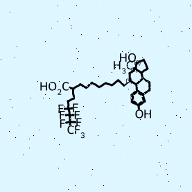 C[C@]12C[C@H](CCCCCCCCC(CCC(F)(F)C(F)(F)C(F)(F)C(F)(F)F)C(=O)O)C3c4ccc(O)cc4CCC3C1CC[C@@H]2O